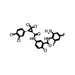 Nc1cc(F)cc(F)c1NC(=O)c1cc(NC(=O)[C@H]2[C@H](c3ccc(Cl)c(Cl)c3)C2(Cl)Cl)ccc1Cl